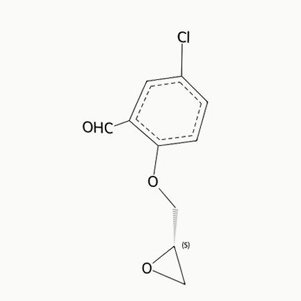 O=Cc1cc(Cl)ccc1OC[C@@H]1CO1